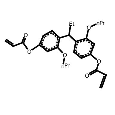 C=CC(=O)Oc1ccc(C(CC)c2ccc(OC(=O)C=C)cc2OCCC)c(OCCC)c1